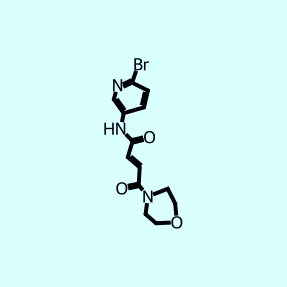 O=C(C=CC(=O)N1CCOCC1)Nc1ccc(Br)nc1